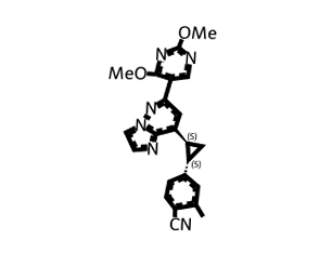 COc1ncc(-c2cc([C@H]3C[C@@H]3c3ccc(C#N)c(C)c3)c3nccn3n2)c(OC)n1